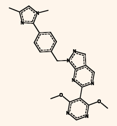 COc1ncnc(OC)c1-c1ncc2cnn(Cc3ccc(-c4nc(C)cn4C)cc3)c2n1